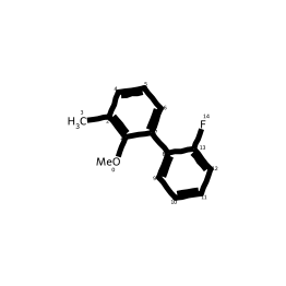 COc1c(C)cccc1-c1ccccc1F